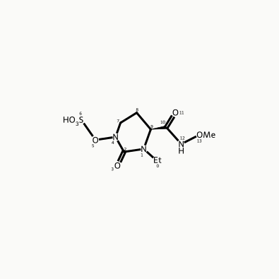 CCN1C(=O)N(OS(=O)(=O)O)CC[C@H]1C(=O)NOC